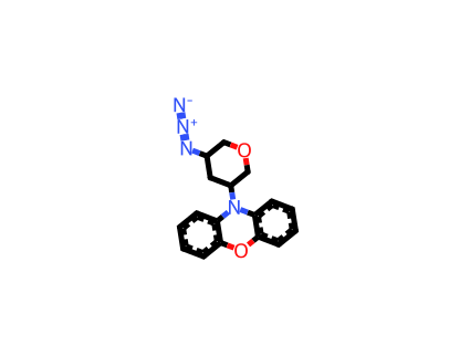 [N-]=[N+]=NC1COCC(N2c3ccccc3Oc3ccccc32)C1